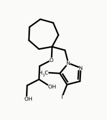 Cc1c(I)cnn1CC1(OCC(O)CO)CCCCCC1